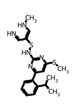 CN/C=C(\C=N)SNc1nc(SC)cc(-c2ccccc2C(C)C)n1